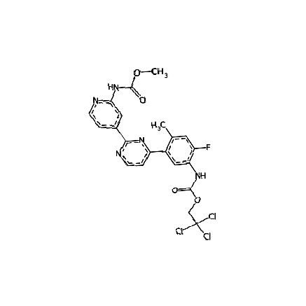 COC(=O)Nc1cc(-c2nccc(-c3cc(NC(=O)OCC(Cl)(Cl)Cl)c(F)cc3C)n2)ccn1